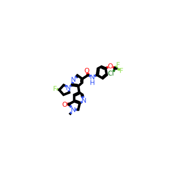 CN1Cc2ncc(-c3cc(C(=O)Nc4ccc(OC(F)(F)Cl)cc4)cnc3N3CCC(F)C3)cc2C1=O